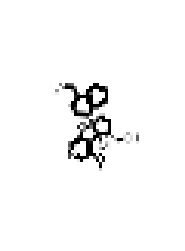 COc1cncc2c1[C@]1(O)[C@@H](CO)C[C@@H](c3ccccc3)[C@]1(c1ccc(CN)cc1)O2